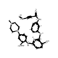 COc1cc(N2CCN(C)CC2)ccc1Nc1ccc(Cl)c(Oc2cccc(NC(=O)C#CSI)c2)n1